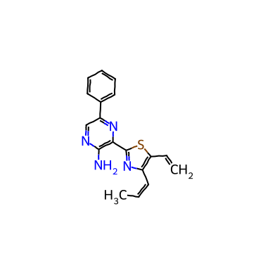 C=Cc1sc(-c2nc(-c3ccccc3)cnc2N)nc1/C=C\C